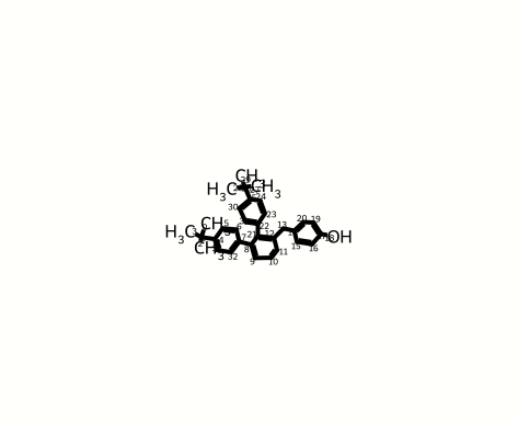 CC(C)(C)c1ccc(-c2cccc(Cc3ccc(O)cc3)c2-c2ccc(C(C)(C)C)cc2)cc1